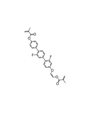 C=C(C)C(=O)O/C=C\Oc1ccc(-c2ccc(-c3ccc(OC(=O)C(=C)C)cc3)c(F)c2)c(F)c1